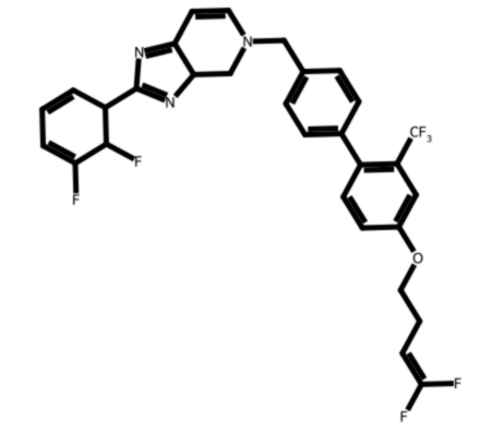 FC(F)=CCCOc1ccc(-c2ccc(CN3C=CC4=NC(C5C=CC=C(F)C5F)=NC4C3)cc2)c(C(F)(F)F)c1